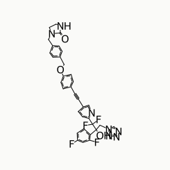 O=C1NCCN1Cc1ccc(COc2ccc(C#Cc3ccc(C(F)(F)C(O)(Cn4cnnn4)c4ccc(F)cc4F)nc3)cc2)cc1